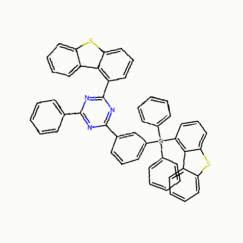 c1ccc(-c2nc(-c3cccc([Si](c4ccccc4)(c4ccccc4)c4cccc5sc6ccccc6c45)c3)nc(-c3cccc4sc5ccccc5c34)n2)cc1